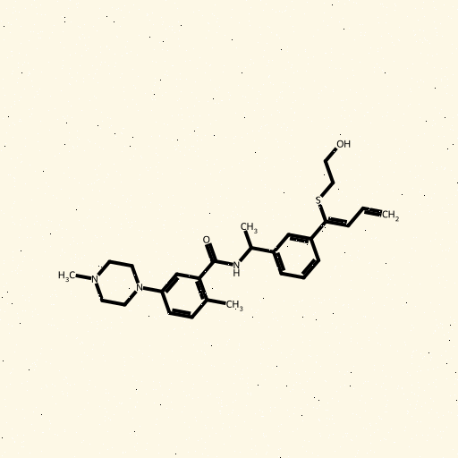 C=C/C=C(\SCCO)c1cccc(C(C)NC(=O)c2cc(N3CCN(C)CC3)ccc2C)c1